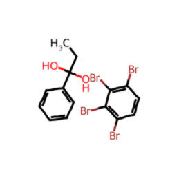 Brc1ccc(Br)c(Br)c1Br.CCC(O)(O)c1ccccc1